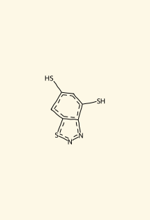 Sc1cc(S)c2nnsc2c1